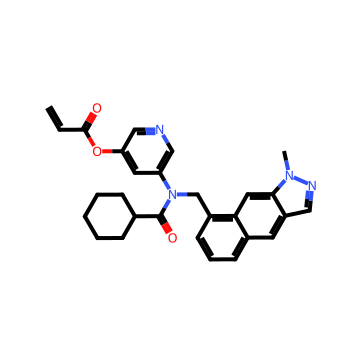 C=CC(=O)Oc1cncc(N(Cc2cccc3cc4cnn(C)c4cc23)C(=O)C2CCCCC2)c1